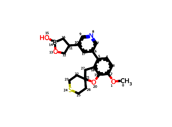 COc1ccc(-c2cncc(C3COB(O)C3)c2)c2c1OC1(CCSCC1)C2